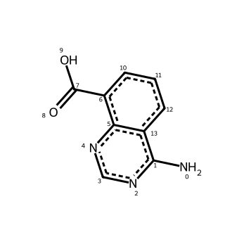 Nc1ncnc2c(C(=O)O)cccc12